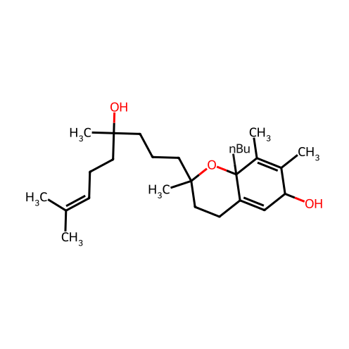 CCCCC12OC(C)(CCCC(C)(O)CCC=C(C)C)CCC1=CC(O)C(C)=C2C